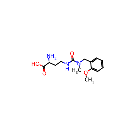 COc1ccccc1CN(C)C(=O)NCC[C@H](N)C(=O)O